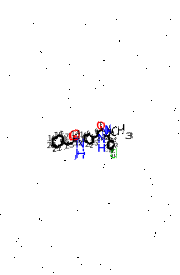 Cc1nn2c(=O)cc(-c3ccc(NC(=O)Cc4ccccc4)cc3)[nH]c2c1-c1ccc(Cl)cc1